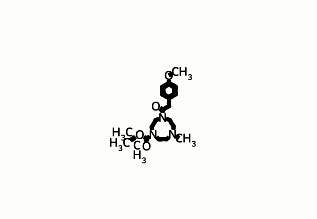 COc1ccc(CC(=O)N2CCN(C)CCN(C(=O)OC(C)(C)C)CC2)cc1